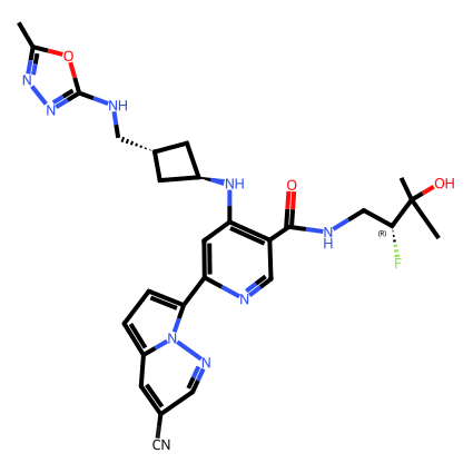 Cc1nnc(NC[C@H]2C[C@H](Nc3cc(-c4ccc5cc(C#N)cnn45)ncc3C(=O)NC[C@@H](F)C(C)(C)O)C2)o1